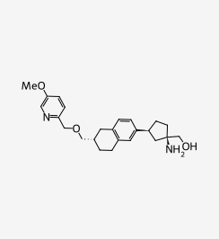 COc1ccc(COC[C@H]2CCc3cc([C@H]4CC[C@](N)(CO)C4)ccc3C2)nc1